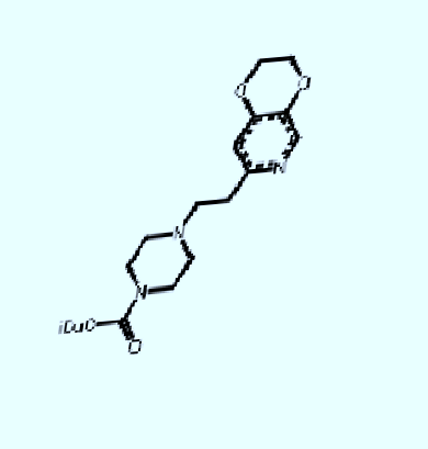 CC(C)COC(=O)N1CCN(CCc2cc3c(cn2)OCCO3)CC1